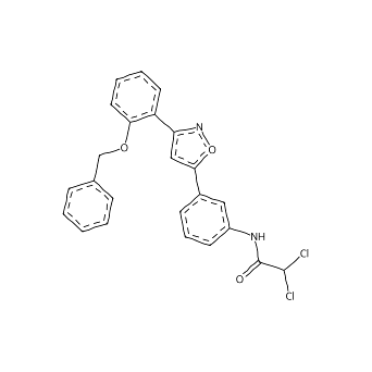 O=C(Nc1cccc(-c2cc(-c3ccccc3OCc3ccccc3)no2)c1)C(Cl)Cl